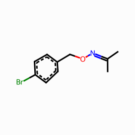 CC(C)=NOCc1ccc(Br)cc1